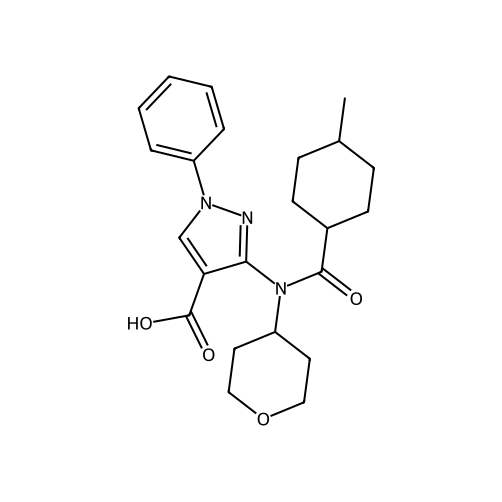 CC1CCC(C(=O)N(c2nn(-c3ccccc3)cc2C(=O)O)C2CCOCC2)CC1